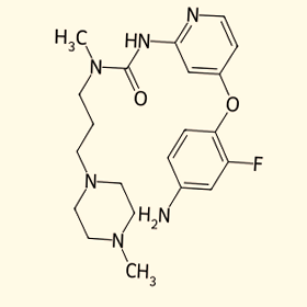 CN1CCN(CCCN(C)C(=O)Nc2cc(Oc3ccc(N)cc3F)ccn2)CC1